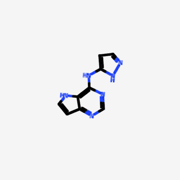 c1cc(Nc2ncnc3cc[nH]c23)[nH]n1